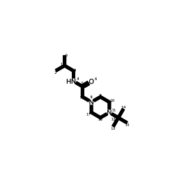 CC(C)CNC(=O)CN1CCN(C(C)(C)C)CC1